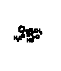 COc1ccccc1-n1nc(C)c(C(=O)O)n1